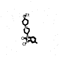 CCOC1CCC(N2CCC(n3c(=O)n(Cl)c4cc(C)ccc43)CC2)CC1